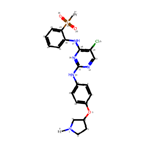 CCN1CCC(Oc2ccc(Nc3ncc(Cl)c(Nc4ccccc4S(=O)(=O)C(C)C)n3)cc2)C1